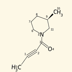 CC#CC(=O)N1CCC[C@@H](C)C1